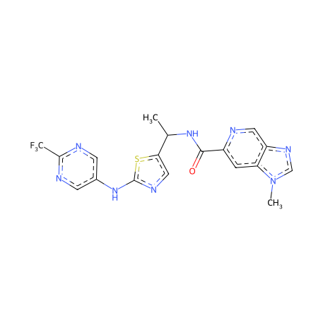 CC(NC(=O)c1cc2c(cn1)ncn2C)c1cnc(Nc2cnc(C(F)(F)F)nc2)s1